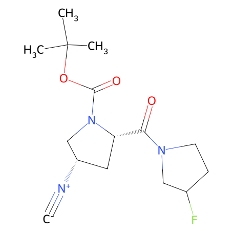 [C-]#[N+][C@H]1C[C@@H](C(=O)N2CCC(F)C2)N(C(=O)OC(C)(C)C)C1